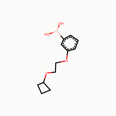 OB(O)c1cccc(OCCOC2CCC2)c1